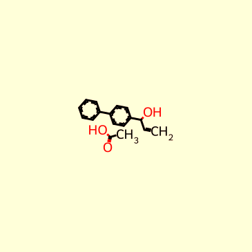 C=CC(O)c1ccc(-c2ccccc2)cc1.CC(=O)O